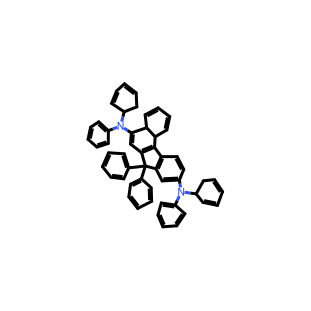 C1=CCC(N(C2=CC3=C(c4ccc(N(c5ccccc5)C5C=CC=CC5)cc4C3(c3ccccc3)c3ccccc3)C3C=CC=CC23)c2ccccc2)C=C1